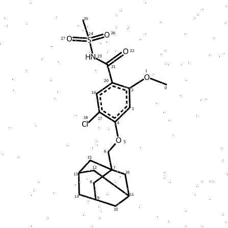 COc1cc(OCC23CC4CC(CC(C4)C2)C3)c(Cl)cc1C(=O)NS(C)(=O)=O